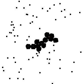 c1ccc(-c2ccc(N(c3ccc(-c4cc5c6ccccc6c6c(c7ccccc7n6-c6ccc(-c7ccccc7)cc6)c5c5ccccc45)cc3)c3ccccc3-c3ccccc3)cc2)cc1